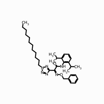 CCCCCCCCCCCCn1nnc(C(=NOCc2ccccc2)C(=O)Nc2c(C(C)C)cccc2C(C)C)n1